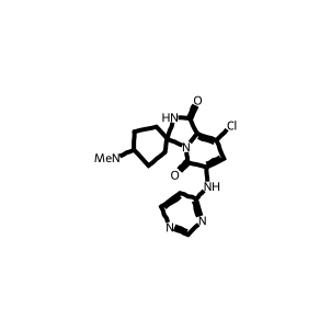 CNC1CCC2(CC1)NC(=O)c1c(Cl)cc(Nc3ccncn3)c(=O)n12